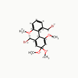 COC1=CC(OC)(OC)C=C(CBr)C1c1c(CBr)cccc1OC